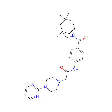 CC1(C)CC2CC(C)(CN2C(=O)c2ccc(NC(=O)CN3CCN(c4ncccn4)CC3)cc2)C1